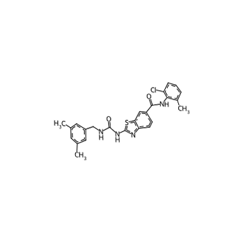 Cc1cc(C)cc(CNC(=O)Nc2nc3ccc(C(=O)Nc4c(C)cccc4Cl)cc3s2)c1